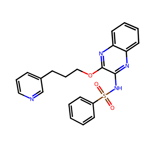 O=S(=O)(Nc1nc2ccccc2nc1OCCCc1cccnc1)c1ccccc1